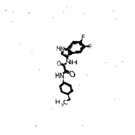 CC[C@H]1CC[C@H](NC(=O)C(=O)Nc2c[nH]c3cc(F)c(F)cc23)CC1